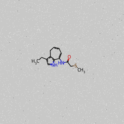 CCc1c[nH]c2c1CC=CC=C2NC(=O)CSC